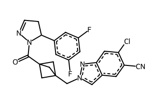 N#Cc1cc2cn(CC34CC(C(=O)N5N=CCC5c5cc(F)cc(F)c5)(C3)C4)nc2cc1Cl